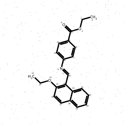 CCOC(=O)c1ccc(/N=C/c2c(OCC)ccc3ccccc23)cc1